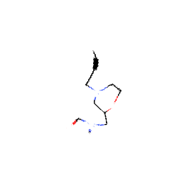 CC#CCN1CCOC(CN(C)C=O)C1